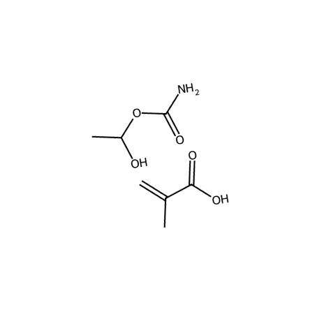 C=C(C)C(=O)O.CC(O)OC(N)=O